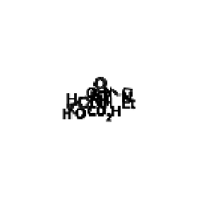 CCN1CCC[C@H]1CCNc1ccccc1S(=O)(=O)Nc1ccc2c(c1C(=O)O)OC[C@@H]1C[C@H]21